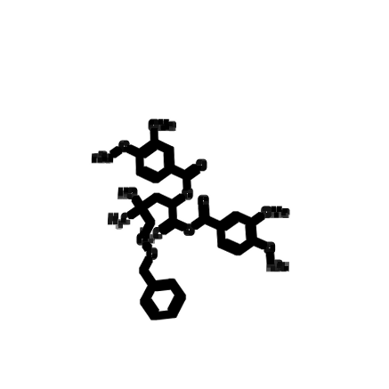 C=C(OC(=O)c1ccc(OCCCC)c(OC)c1)C(CC(C)(O)COOCc1ccccc1)OC(=O)c1ccc(OCCCC)c(OC)c1